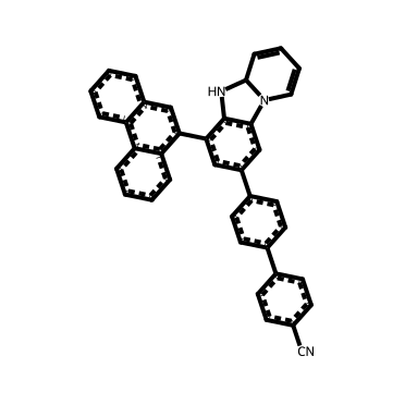 N#Cc1ccc(-c2ccc(-c3cc(-c4cc5ccccc5c5ccccc45)c4c(c3)N3C=CC=CC3N4)cc2)cc1